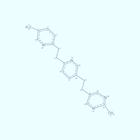 Cc1ccc(CCc2ccc(CCc3cnc(C)nc3)cn2)nc1